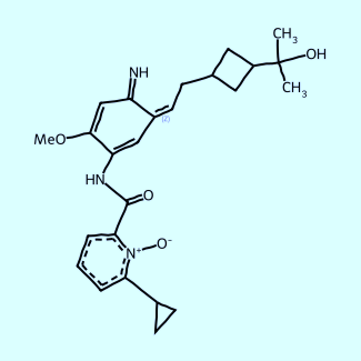 COC1=CC(=N)/C(=C\CC2CC(C(C)(C)O)C2)C=C1NC(=O)c1cccc(C2CC2)[n+]1[O-]